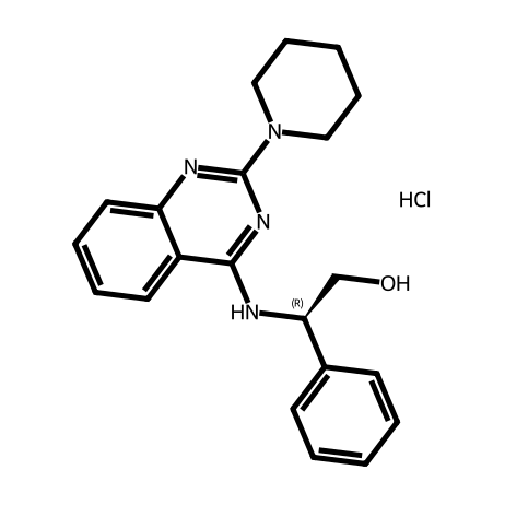 Cl.OC[C@H](Nc1nc(N2CCCCC2)nc2ccccc12)c1ccccc1